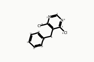 Clc1ncnc(Cl)c1Cc1ccccc1